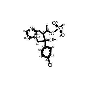 CC(OS(C)(=O)=O)C(C)C(O)(Cn1cncn1)c1ccc(Cl)cc1